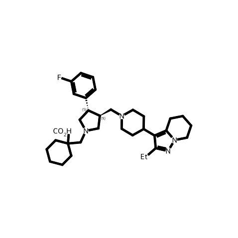 CCc1nn2c(c1C1CCN(C[C@H]3CN(CC4(C(=O)O)CCCCC4)C[C@@H]3c3cccc(F)c3)CC1)CCCC2